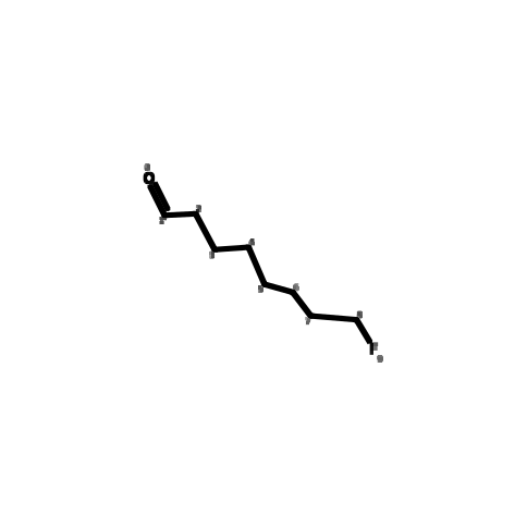 O=[C]CCCCCCCF